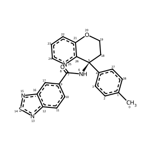 Cc1ccc([C@@]2(NC(=O)c3ccc4nsnc4c3)CCOc3cccnc32)cc1